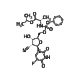 CC(C)OC(=O)[C@H](C)NP(=O)(OC[C@H]1O[C@@H](n2cc(F)c(=O)[nH]c2=O)[C@H](C#N)[C@@H]1O)Oc1ccccc1